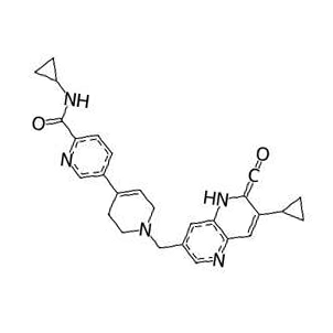 O=C=C1Nc2cc(CN3CC=C(c4ccc(C(=O)NC5CC5)nc4)CC3)cnc2C=C1C1CC1